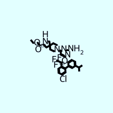 CCOC(=O)[C@@H]1CC2(CCN(c3cc(O[C@H](c4ccc(Cl)cc4-c4cccc(C(C)C)c4)C(F)(F)F)nc(N)n3)CC2)CN1